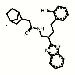 O=C(CC1CC2CCC1C2)NCC(CCc1ccccc1O)c1nc2ccccc2o1